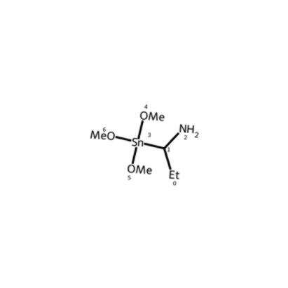 CC[CH](N)[Sn]([O]C)([O]C)[O]C